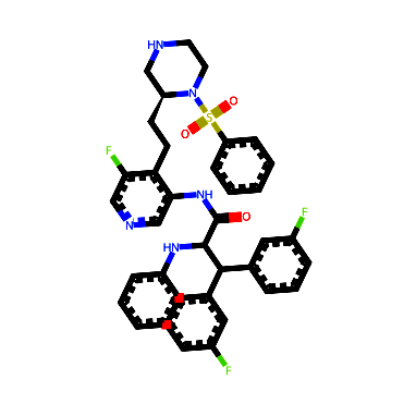 O=C(Nc1cncc(F)c1CC[C@H]1CNCCN1S(=O)(=O)c1ccccc1)C(Nc1ccccc1)C(c1cccc(F)c1)c1cccc(F)c1